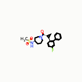 CS(=O)(=O)N[C@H]1CCCN(C(=O)[C@@H]2C[C@H]2c2ccc(F)cc2-c2ccccc2)CC1